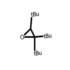 CC(C)(C)C1OC1(C(C)(C)C)C(C)(C)C